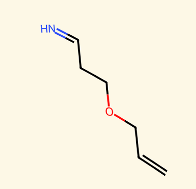 C=CCOCCC=N